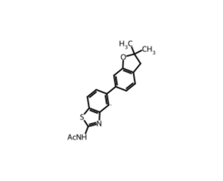 CC(=O)Nc1nc2[c]c(-c3ccc4c(c3)OC(C)(C)C4)ccc2s1